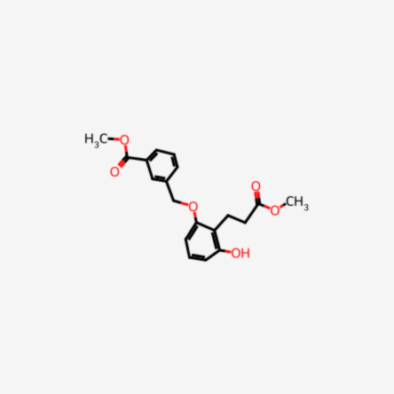 COC(=O)CCc1c(O)cccc1OCc1cccc(C(=O)OC)c1